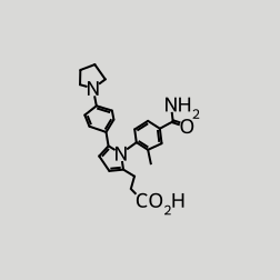 Cc1cc(C(N)=O)ccc1-n1c(CCC(=O)O)ccc1-c1ccc(N2CCCC2)cc1